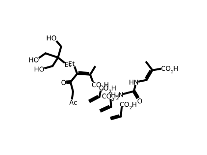 C=CC(=O)O.C=CC(=O)O.C=CC(=O)O.CC(=CNC(N)=O)C(=O)O.CCC(C(=O)CC(C)=O)=C(C)C(=O)O.CCC(CO)(CO)CO